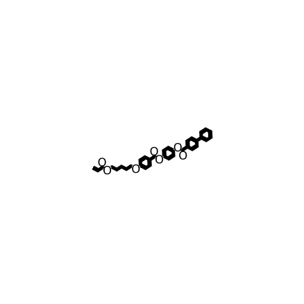 C=CC(=O)OCCCCCOc1ccc(C(=O)Oc2ccc(OC(=O)c3ccc(-c4ccccc4)cc3)cc2)cc1